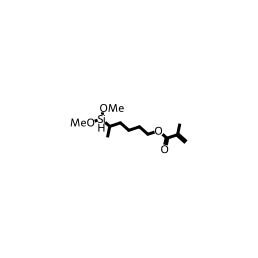 C=C(C)C(=O)OCCCCC(C)[SiH](OC)OC